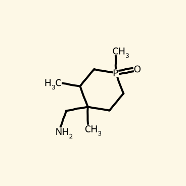 CC1CP(C)(=O)CCC1(C)CN